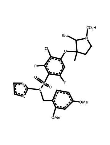 COc1ccc(CN(c2nccs2)S(=O)(=O)c2c(F)cc(OC3(C)CCN(C(=O)O)C3C(C)(C)C)c(Cl)c2F)c(OC)c1